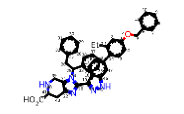 CCc1cc(OCc2ccccc2)ccc1-c1ccc2c(-c3nc4c(n3C(Cc3ccccc3)c3ccccc3)CNC(C(=O)O)C4)n[nH]c2c1